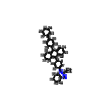 CCc1nc2c(n1C1=CCC(c3c4ccccc4c(-c4ccc(-c5ccccc5)cc4)c4ccccc34)C=C1)CCC=C2